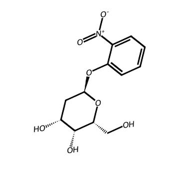 O=[N+]([O-])c1ccccc1O[C@@H]1C[C@@H](O)[C@@H](O)[C@@H](CO)O1